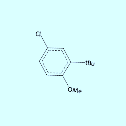 COc1ccc(Cl)cc1C(C)(C)C